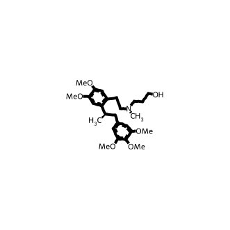 COc1cc(CCN(C)CCCO)c([C@H](C)Cc2cc(OC)c(OC)c(OC)c2)cc1OC